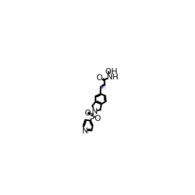 O=C(/C=C/c1ccc2c(c1)CN(S(=O)(=O)c1ccncc1)C2)NO